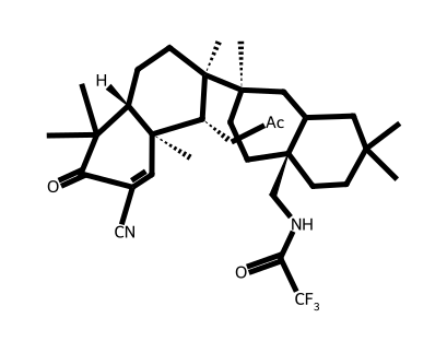 CC(=O)C[C@@H]1[C@@]2(C)C=C(C#N)C(=O)C(C)(C)[C@@H]2CC[C@@]1(C)[C@]1(C)CC[C@@]2(CNC(=O)C(F)(F)F)CCC(C)(C)CC2C1